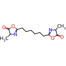 CC1N=C(CCCCCCC2=NC(C)C(=O)O2)OC1=O